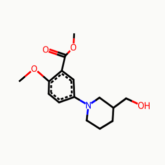 COC(=O)c1cc(N2CCCC(CO)C2)ccc1OC